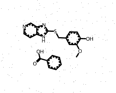 COc1cc(CSc2nc3cnccc3[nH]2)ccc1O.O=C(O)c1ccccc1